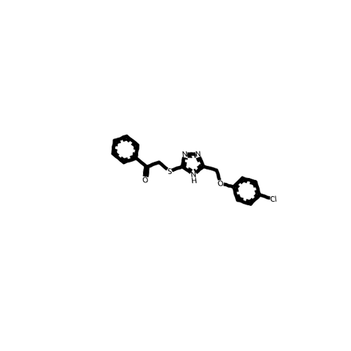 O=C(CSc1nnc(COc2ccc(Cl)cc2)[nH]1)c1ccccc1